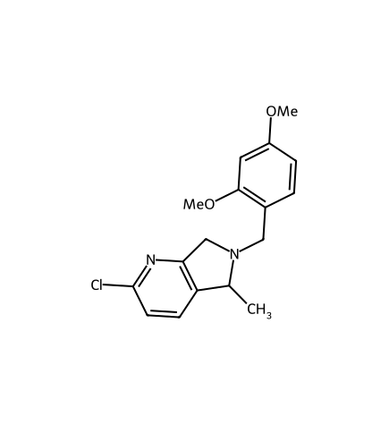 COc1ccc(CN2Cc3nc(Cl)ccc3C2C)c(OC)c1